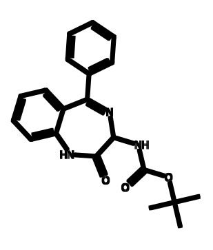 CC(C)(C)OC(=O)NC1N=C(c2ccccc2)c2ccccc2NC1=O